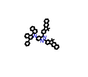 CC1(C)c2cc(-c3nc(-c4ccc5c(c4)C(C)(C)c4cc6ccccc6cc4-5)c4cc(-n5c6ccc7ccccc7c6c6c7ccccc7c(-c7ccccc7)cc65)ccc4n3)ccc2-c2cc3ccccc3cc21